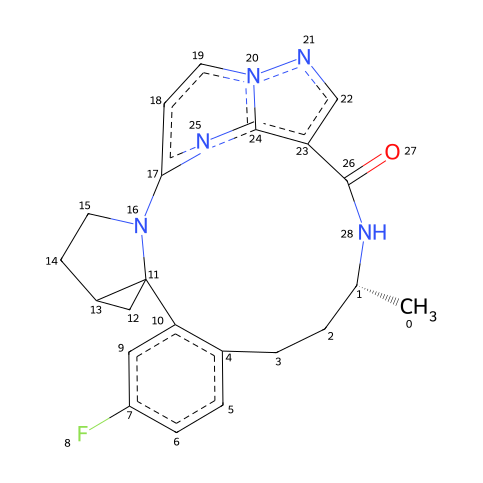 C[C@@H]1CCc2ccc(F)cc2C23CC2CCN3c2ccn3ncc(c3n2)C(=O)N1